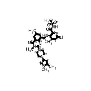 Cc1cc([C@@H](C)Nc2ccc(Cl)nc2C(=O)NS(C)(=O)=O)c2nc(N3CCN(c4cc(C)n(C)n4)CC3)n(C)c(=O)c2c1